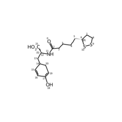 O=C(CCCC[C@@H]1CCSS1)N[C@@H](CC1C=CC(O)=CC1)C(=O)O